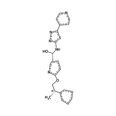 C[C@H](COc1ccc(C(O)Nc2nnc(-c3ccncc3)s2)cn1)c1ccccc1